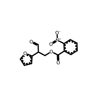 O=CC(COC(=O)c1ccccc1[N+](=O)[O-])c1ccco1